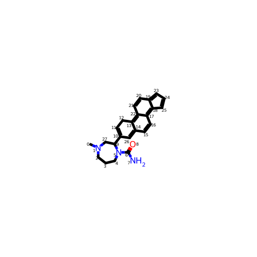 CN1CCCN(C(N)=O)C(C2=CCc3c(ccc4c5c(ccc34)=CC=C5)=C2)C1